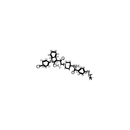 Cc1c(C(=O)CN2CCC(NC(=O)c3ccc(N=[N+]=[N-])cc3)CC2)c2ccccc2n1-c1ccc(Cl)cc1